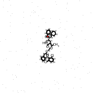 CC(OCCOC(=O)Cc1ccccc1Nc1c(Cl)cccc1Cl)C(CC(=O)N(Cc1ccccc1)CC1(SN=O)CCCCC1)C(=O)O